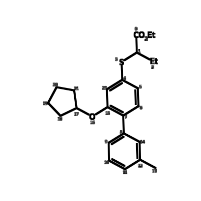 CCOC(=O)C(CC)Sc1ccc(-c2cccc(C)c2)c(OC2CCCC2)c1